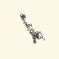 C=C1c2ccc(CCCNCCCCCc3cocn3)cc2CN1C(CCC=O)C(=O)NC